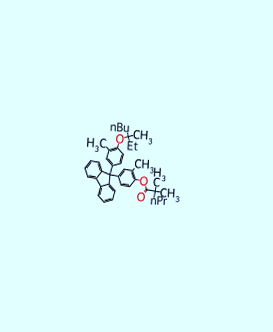 CCCCC(C)(CC)Oc1ccc(C2(c3ccc(OC(=O)C(C)(C)CCC)c(C)c3)c3ccccc3-c3ccccc32)cc1C